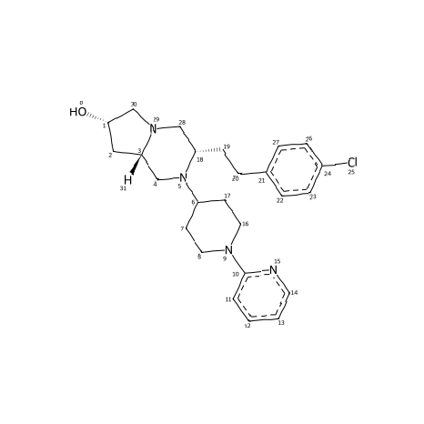 O[C@H]1C[C@H]2CN(C3CCN(c4ccccn4)CC3)[C@@H](CCc3ccc(Cl)cc3)CN2C1